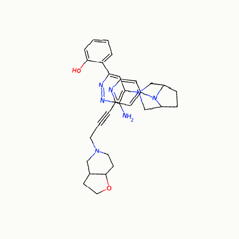 Nc1nnc(-c2ccccc2O)cc1N1CC2CCC(C1)N2c1ccnc(C#CCN2CCC3OCCC3C2)c1